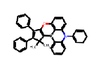 CC1(C)C2=C(Oc3cccc4c3B2c2ccccc2N4C2=CCCC=C2)C(c2ccccc2)=C1c1ccccc1